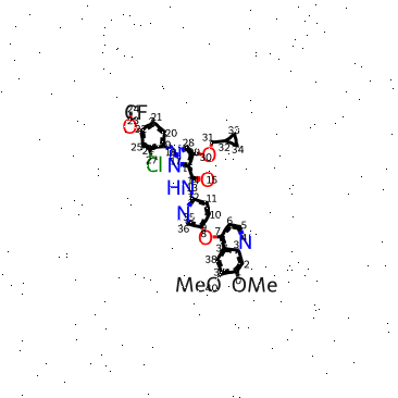 COc1cc2nccc(Oc3ccc(NC(=O)c4nn(-c5ccc(OC(F)(F)F)cc5Cl)cc4OCC4CC4)nc3)c2cc1OC